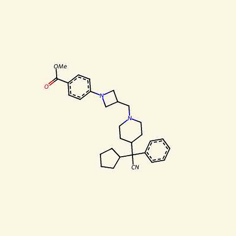 COC(=O)c1ccc(N2CC(CN3CCC(C(C#N)(c4ccccc4)C4CCCC4)CC3)C2)cc1